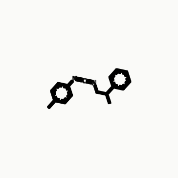 Cc1ccc(N=C=NCC(C)c2ccccc2)cc1